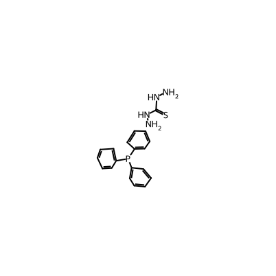 NNC(=S)NN.c1ccc(P(c2ccccc2)c2ccccc2)cc1